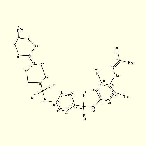 CCCC1CCC(C2CCC(C(F)(F)Oc3ccc(C(F)(F)Oc4cc(F)c(OC=C(F)F)c(F)c4)cc3)CC2)CC1